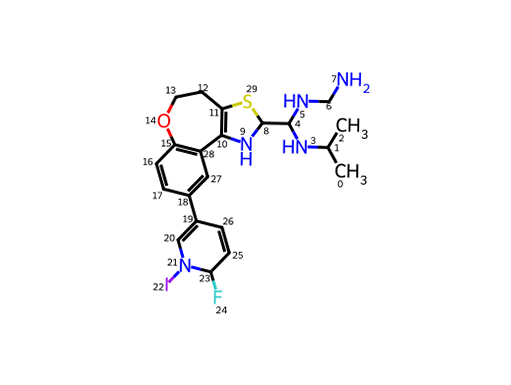 CC(C)NC(NCN)C1NC2=C(CCOc3ccc(C4=CN(I)C(F)C=C4)cc32)S1